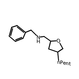 CCCCCC1COC(CNCc2ccccc2)C1